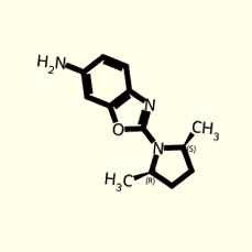 C[C@@H]1CC[C@H](C)N1c1nc2ccc(N)cc2o1